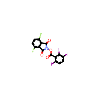 O=C(ON1C(=O)c2c(F)ccc(F)c2C1=O)c1c(I)ccc(I)c1I